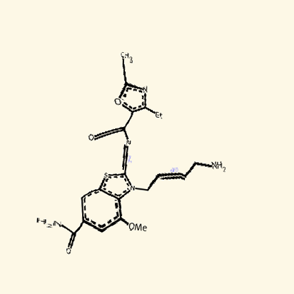 CCc1nc(C)oc1C(=O)/N=c1\sc2cc(C(N)=O)cc(OC)c2n1C/C=C/CN